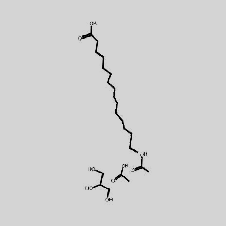 CC(=O)O.CC(=O)O.CCCCCCCCCCCCCCCC(=O)O.OCC(O)CO